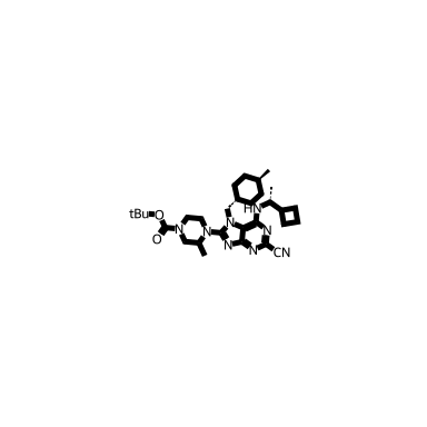 CC1CN(C(=O)OC(C)(C)C)CCN1c1nc2nc(C#N)nc(N[C@H](C)C3CCC3)c2n1C[C@H]1CC[C@H](C)CC1